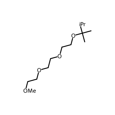 COCCOCCOCCOC(C)(C)C(C)C